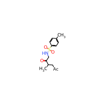 CC(=O)CC(C)C(=O)CNS(=O)(=O)c1ccc(C)cc1